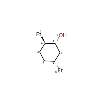 CC[C@@H]1CC[C@@H](CC)[C@H](O)C1